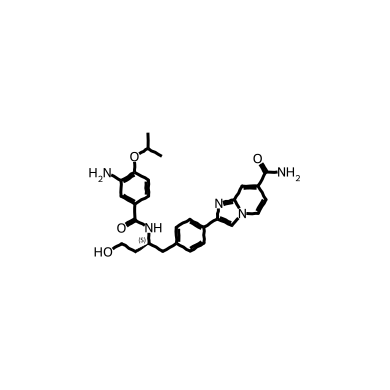 CC(C)Oc1ccc(C(=O)N[C@H](CCO)Cc2ccc(-c3cn4ccc(C(N)=O)cc4n3)cc2)cc1N